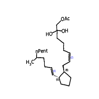 CCCCCC(C)CC/C=C/[C@H]1CCC[C@@H]1C/C=C\CCCC(O)(O)COC(C)=O